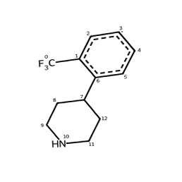 FC(F)(F)c1c[c]ccc1C1CCNCC1